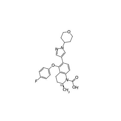 C[C@H]1CCc2c(ccc(-c3cnn(C4CCOCC4)c3)c2Oc2ccc(F)cc2)N1C(=O)O